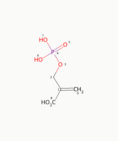 C=C(COP(=O)(O)O)C(=O)O